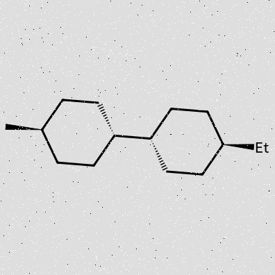 CC[C@H]1CC[C@H]([C@H]2CC[C@H](C)CC2)CC1